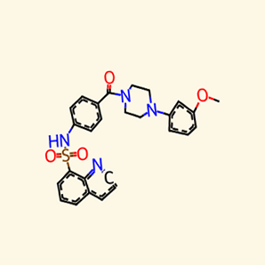 COc1cccc(N2CCN(C(=O)c3ccc(NS(=O)(=O)c4cccc5cccnc45)cc3)CC2)c1